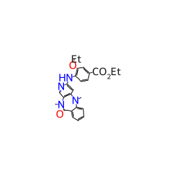 CCOC(=O)c1ccc(Nc2cc3c(cn2)N(C)C(=O)c2ccccc2N3C)c(OCC)c1